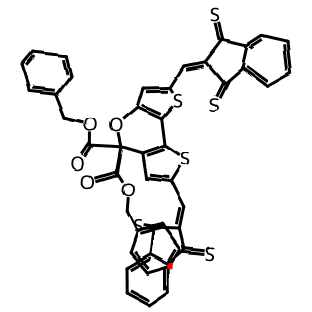 O=C(OCc1ccccc1)C1(C(=O)OCc2ccccc2)Oc2cc(C=C3C(=S)c4ccccc4C3=S)sc2-c2sc(C=C3C(=S)c4ccccc4C3=S)cc21